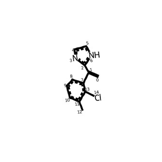 C=C(c1ncc[nH]1)c1cccc(C)c1Cl